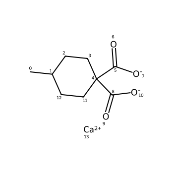 CC1CCC(C(=O)[O-])(C(=O)[O-])CC1.[Ca+2]